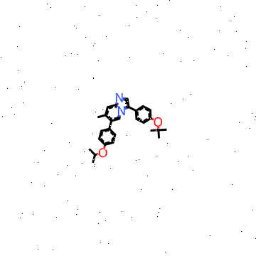 Cc1cc2ncc(-c3ccc(OC(C)(C)C)cc3)n2cc1-c1ccc(OC(C)C)cc1